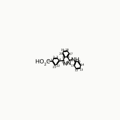 O=C(O)c1ccc(-c2nnc(Nc3ccccc3)c3ccccc23)cc1